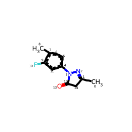 CC1=NN(c2ccc(C)c(F)c2)C(=O)C1